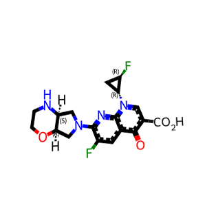 O=C(O)c1cn([C@@H]2C[C@H]2F)c2nc(N3C[C@@H]4NCCO[C@@H]4C3)c(F)cc2c1=O